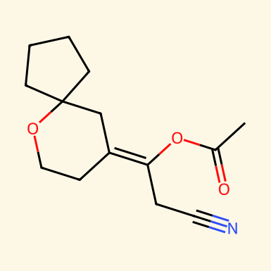 CC(=O)OC(CC#N)=C1CCOC2(CCCC2)C1